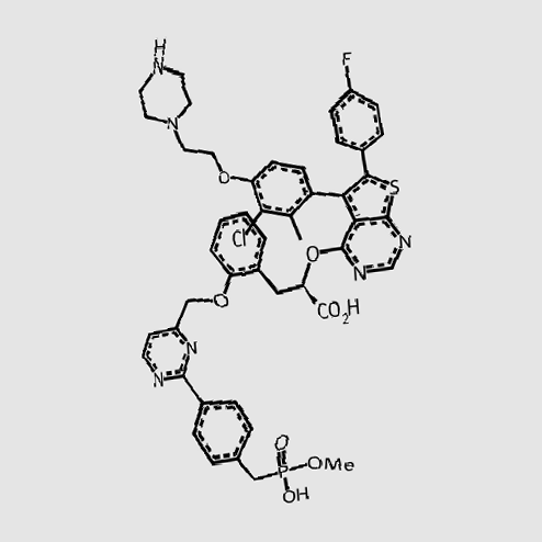 COP(=O)(O)Cc1ccc(-c2nccc(COc3ccccc3C[C@@H](Oc3ncnc4sc(-c5ccc(F)cc5)c(-c5ccc(OCCN6CCNCC6)c(Cl)c5C)c34)C(=O)O)n2)cc1